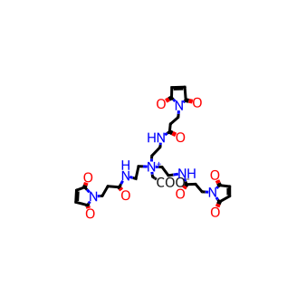 O=C([O-])C[N+](CCNC(=O)CCN1C(=O)C=CC1=O)(CCNC(=O)CCN1C(=O)C=CC1=O)CCNC(=O)CCN1C(=O)C=CC1=O